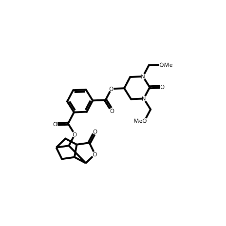 COCN1CC(OC(=O)c2cccc(C(=O)OC3C4CC5C(=O)OC3C5C4)c2)CN(COC)C1=O